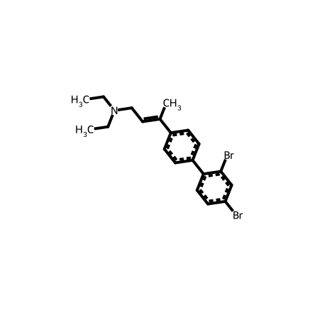 CCN(CC)CC=C(C)c1ccc(-c2ccc(Br)cc2Br)cc1